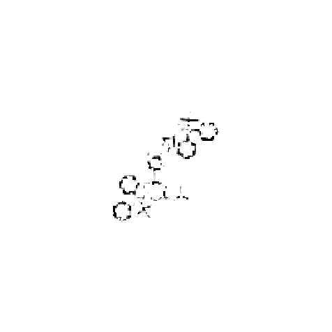 CC(C)C[C@@H](CO[Si](c1ccccc1)(c1ccccc1)C(C)(C)C)NC(=O)c1csc(N2CC(O[Si](c3ccccc3)(c3ccccc3)C(C)(C)C)C2)n1